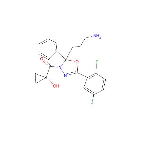 NCCCC1(c2ccccc2)OC(c2cc(F)ccc2F)=NN1C(=O)C1(O)CC1